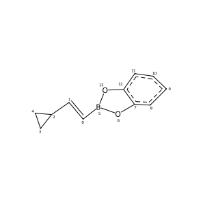 C(=CC1CC1)B1Oc2ccccc2O1